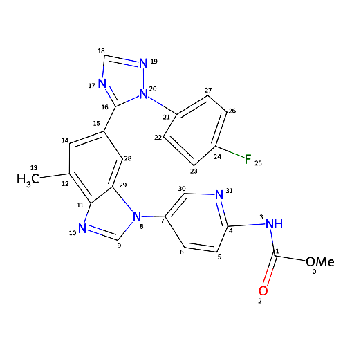 COC(=O)Nc1ccc(-n2cnc3c(C)cc(-c4ncnn4-c4ccc(F)cc4)cc32)cn1